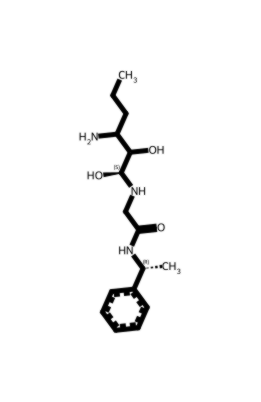 CCCC(N)C(O)[C@H](O)NCC(=O)N[C@H](C)c1ccccc1